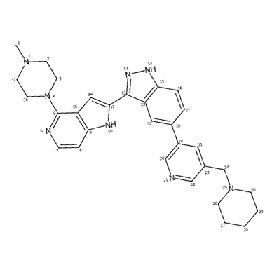 CN1CCN(c2nccc3[nH]c(-c4n[nH]c5ccc(-c6cncc(CN7CCCCC7)c6)cc45)cc23)CC1